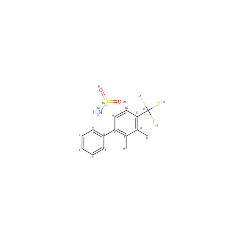 Cc1c(-c2ccccc2)ccc(C(F)(F)F)c1C.N[SH](=O)=O